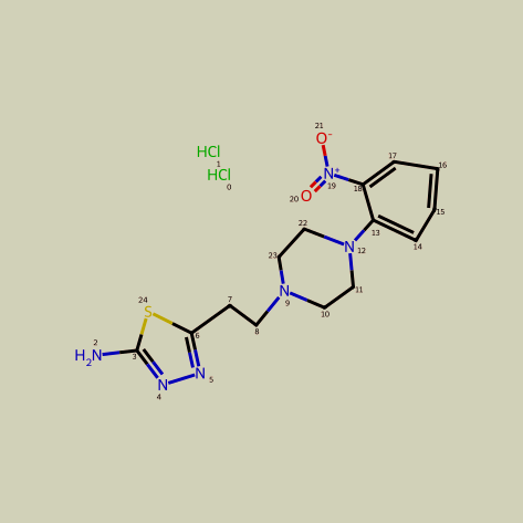 Cl.Cl.Nc1nnc(CCN2CCN(c3ccccc3[N+](=O)[O-])CC2)s1